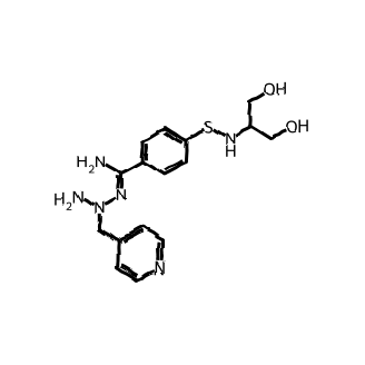 N/C(=N\N(N)Cc1ccncc1)c1ccc(SNC(CO)CO)cc1